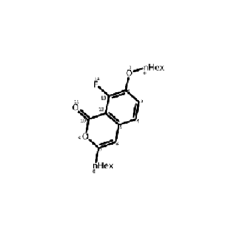 CCCCCCOc1ccc2cc(CCCCCC)oc(=O)c2c1F